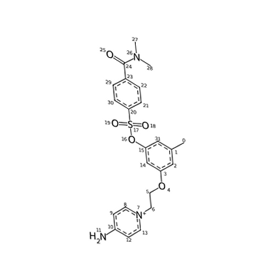 Cc1cc(OCC[n+]2ccc(N)cc2)cc(OS(=O)(=O)c2ccc(C(=O)N(C)C)cc2)c1